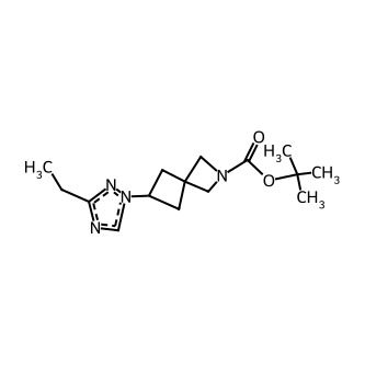 CCc1ncn(C2CC3(C2)CN(C(=O)OC(C)(C)C)C3)n1